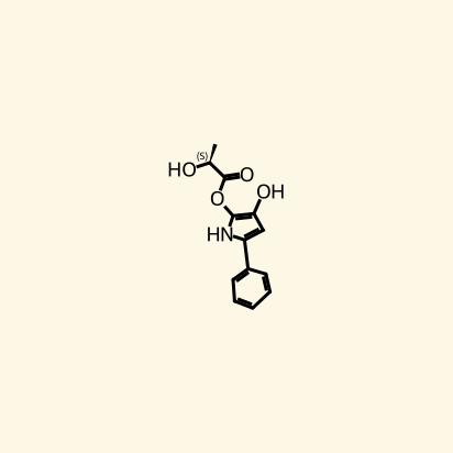 C[C@H](O)C(=O)Oc1[nH]c(-c2ccccc2)cc1O